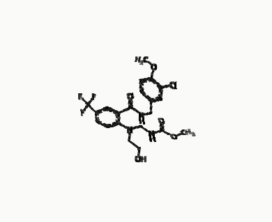 COC(=O)NCN(CCO)c1ccc(C(F)(F)F)cc1C(=O)NCc1ccc(OC)c(Cl)c1